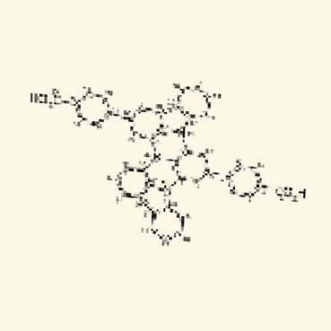 O=C(O)c1ccc(-c2cc3c4c(c2)-n2c5ccccc5c5cc(-c6ccc(C(=O)O)cc6)cc(c52)B4c2cccc4c5ccccc5n-3c24)cc1